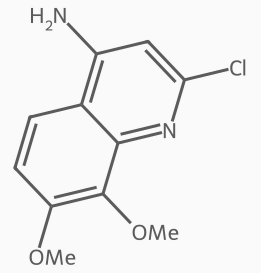 COc1ccc2c(N)cc(Cl)nc2c1OC